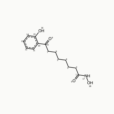 O=C(CCCCCCC(=O)c1ccccc1O)NO